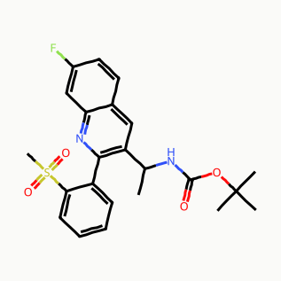 CC(NC(=O)OC(C)(C)C)c1cc2ccc(F)cc2nc1-c1ccccc1S(C)(=O)=O